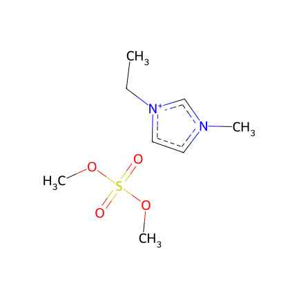 CC[n+]1ccn(C)c1.COS(=O)(=O)OC